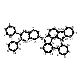 c1ccc(-c2nc3ccc(-n4c5cccc6c7ccccc7n7c8ccccc8c8ccc4c(c65)c87)cc3nc2-c2ccccc2)cc1